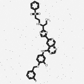 CCC(NCCS(=O)(=O)c1ccccc1)c1nc(-c2cc3c(Nc4ccc(OCc5cccc(F)c5)c(Cl)c4)ncnc3cn2)cs1